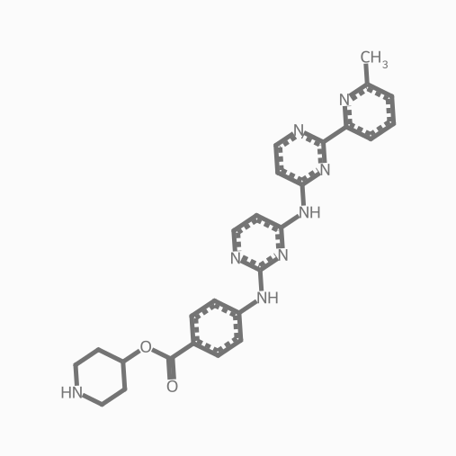 Cc1cccc(-c2nccc(Nc3ccnc(Nc4ccc(C(=O)OC5CCNCC5)cc4)n3)n2)n1